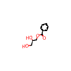 O=C(OC[C@H](O)CO)c1ccccc1